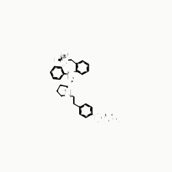 COc1ccc(CCN2CCC[C@H]2CN2c3ccccc3CS(=O)(=O)c3ccccc32)cc1